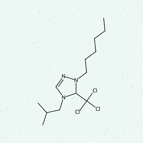 CCCCCCN1N=CN(CC(C)C)C1C(Cl)(Cl)Cl